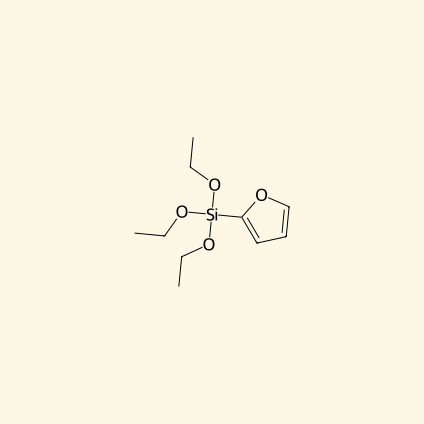 CCO[Si](OCC)(OCC)c1ccco1